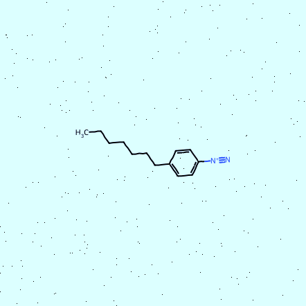 CCCCCCCc1ccc([N+]#N)cc1